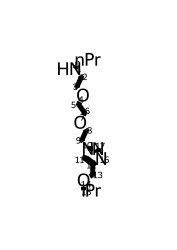 CCCNCCOCCOCCn1cc(COC(C)C)nn1